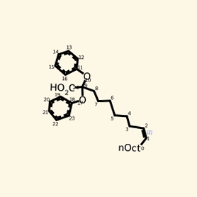 CCCCCCCC/C=C\CCCCCCC(Oc1ccccc1)(Oc1ccccc1)C(=O)O